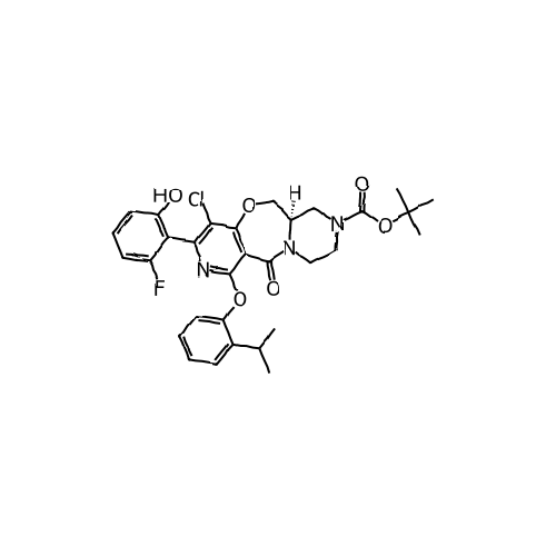 CC(C)c1ccccc1Oc1nc(-c2c(O)cccc2F)c(Cl)c2c1C(=O)N1CCN(C(=O)OC(C)(C)C)C[C@@H]1CO2